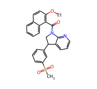 CCOc1ccc2ccccc2c1C(=O)N1CC(c2cccc(S(C)(=O)=O)c2)c2cccnc21